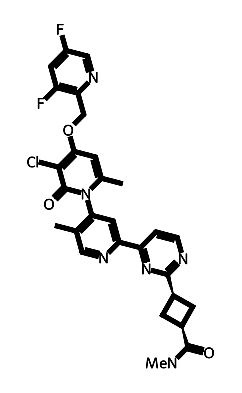 CNC(=O)[C@H]1C[C@@H](c2nccc(-c3cc(-n4c(C)cc(OCc5ncc(F)cc5F)c(Cl)c4=O)c(C)cn3)n2)C1